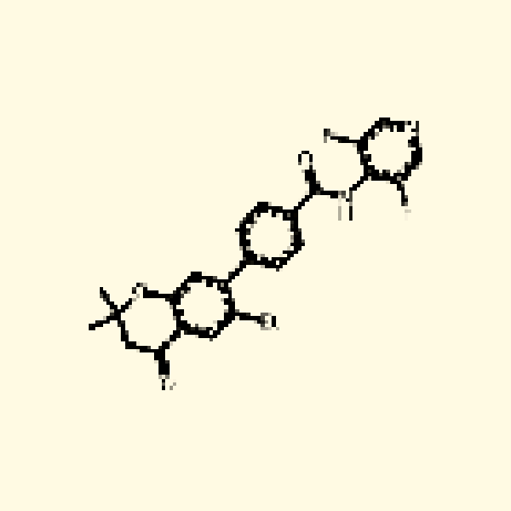 CCc1cc2c(cc1-c1ccc(C(=O)Nc3c(F)cncc3F)cc1)OC(C)(C)CC2=O